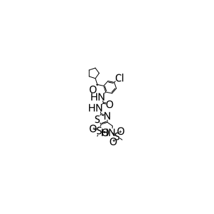 CS(=O)(=O)NCc1nc(NC(=O)Nc2ccc(Cl)cc2C(=O)C2CCCC2)sc1S(C)(=O)=O